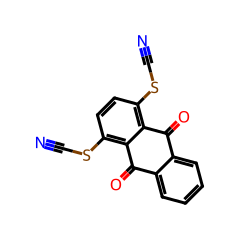 N#CSc1ccc(SC#N)c2c1C(=O)c1ccccc1C2=O